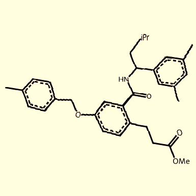 COC(=O)CCc1ccc(OCc2ccc(C)cc2)cc1C(=O)NC(CC(C)C)c1cc(C)cc(C)c1